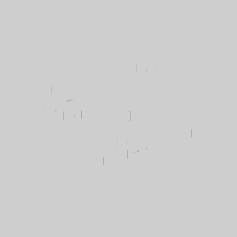 CCCC[PH](CCCC)(CCCC)CCCC.O=P(O)(O)O.O=P(O)(O)O